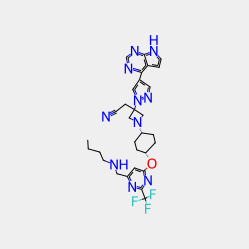 CCCCNCc1cc(O[C@H]2CC[C@@H](N3CC(CC#N)(n4cc(-c5ncnc6[nH]ccc56)cn4)C3)CC2)nc(C(F)(F)F)n1